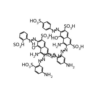 Nc1ccc(S(=O)(=O)O)c(N=Nc2c(S(=O)(=O)O)cc3cc(S(=O)(=O)O)c(N=Nc4ccc(S(=O)(=O)O)cc4)c(O)c3c2N)c1.Nc1ccc(S(=O)(=O)O)c(N=Nc2c(S(=O)(=O)O)cc3cc(S(=O)(=O)O)c(N=Nc4ccccc4S(=O)(=O)O)c(O)c3c2N)c1